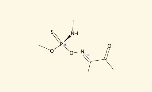 CN[P@](=S)(OC)O/N=C(\C)C(C)=O